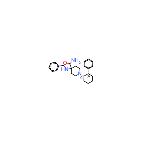 NC(=O)C1(NCc2ccccc2)CCN([C@H]2CCCC[C@H]2c2ccccc2)CC1